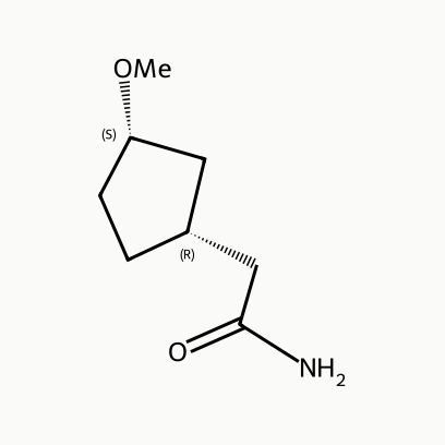 CO[C@H]1CC[C@@H](CC(N)=O)C1